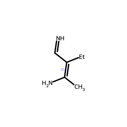 CC/C(C=N)=C(\C)N